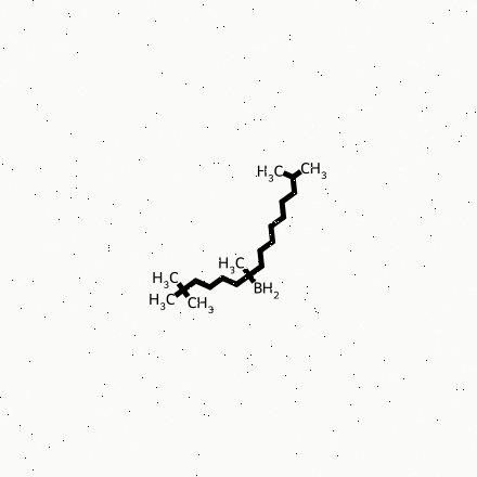 BC(C)(CCCCCCCC(C)C)CCCCC(C)(C)C